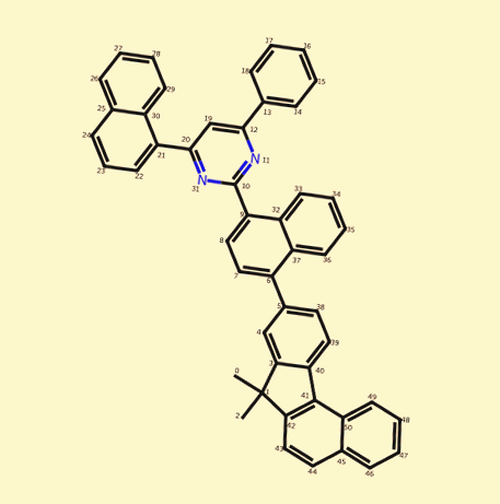 CC1(C)c2cc(-c3ccc(-c4nc(-c5ccccc5)cc(-c5cccc6ccccc56)n4)c4ccccc34)ccc2-c2c1ccc1ccccc21